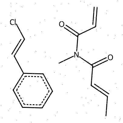 C=CC(=O)N(C)C(=O)C=CC.ClC=Cc1ccccc1